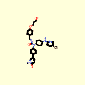 Cn1cc(-c2ccc(N(C(=O)NCc3ccc(OCCCO)cc3)[C@H]3CC[C@H](Nc4ccc(C#N)cn4)CC3)cc2)ccc1=O